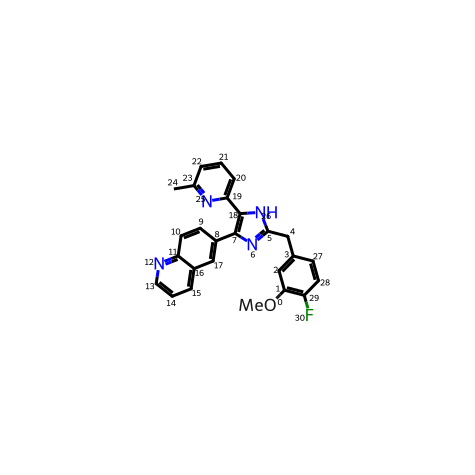 COc1cc(Cc2nc(-c3ccc4ncccc4c3)c(-c3cccc(C)n3)[nH]2)ccc1F